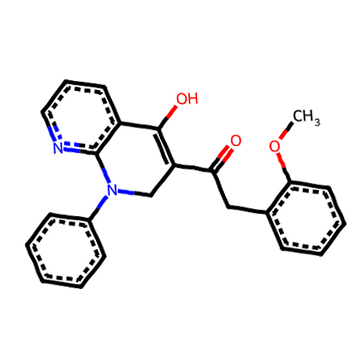 COc1ccccc1CC(=O)C1=C(O)c2cccnc2N(c2ccccc2)C1